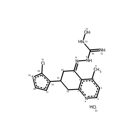 Cc1ccnc2c1/C(=N\NC(=N)NO)CC(c1ccsc1Cl)C2.Cl